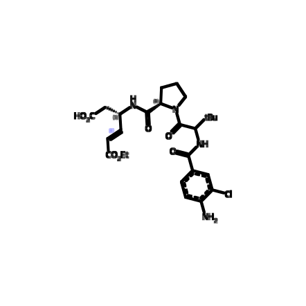 CCOC(=O)/C=C/[C@H](CC(=O)O)NC(=O)[C@H]1CCCN1C(=O)C(NC(=O)c1ccc(N)c(Cl)c1)C(C)(C)C